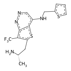 C[C@H](N)Cc1sc2c(NCc3cccs3)cnnc2c1C(F)(F)F